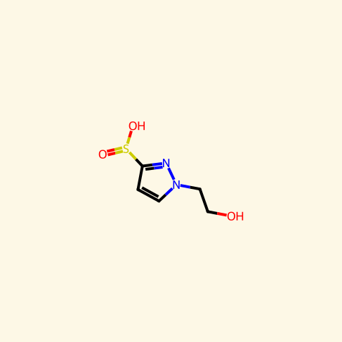 O=S(O)c1ccn(CCO)n1